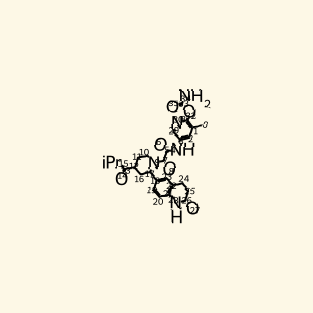 Cc1cc(NC(=O)C(=O)N2CCC(C(=O)C(C)C)CC2c2ccc3c(c2)CCC(=O)N3)cnc1OC(N)=O